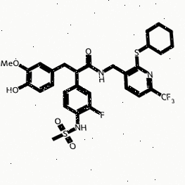 COc1cc(CC(C(=O)NCc2ccc(C(F)(F)F)nc2SC2CCCCC2)c2ccc(NS(C)(=O)=O)c(F)c2)ccc1O